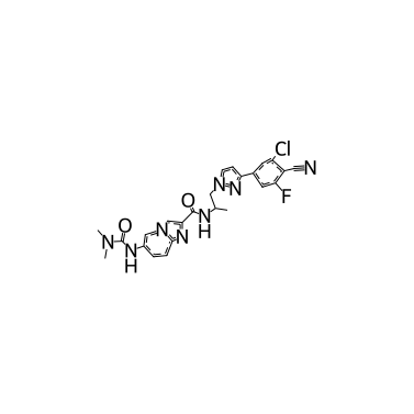 CC(Cn1ccc(-c2cc(F)c(C#N)c(Cl)c2)n1)NC(=O)c1cn2cc(NC(=O)N(C)C)ccc2n1